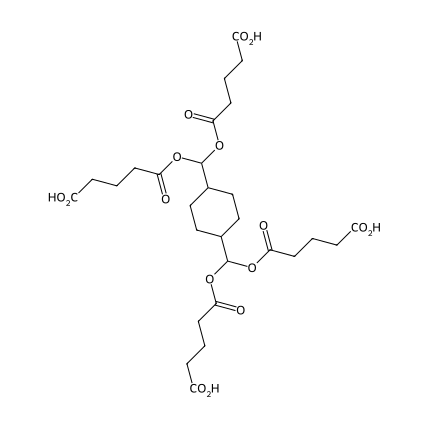 O=C(O)CCCC(=O)OC(OC(=O)CCCC(=O)O)C1CCC(C(OC(=O)CCCC(=O)O)OC(=O)CCCC(=O)O)CC1